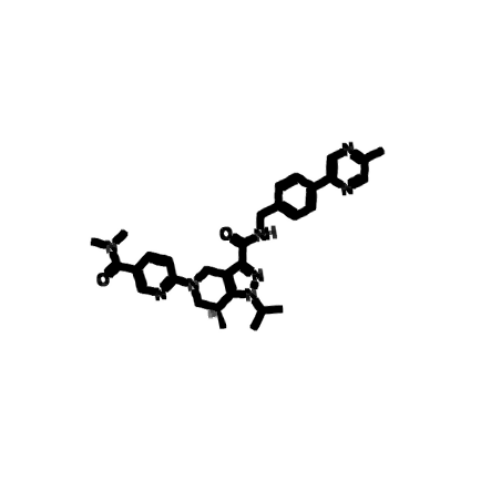 Cc1cnc(-c2ccc(CNC(=O)c3nn(C(C)C)c4c3CN(c3ccc(C(=O)N(C)C)cn3)C[C@@H]4C)cc2)cn1